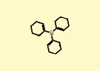 C1=C([Si](C2=CCCCC2)C2=CCCCC2)CCCC1